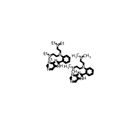 CCN(CC)CCN(CCN(CC)CC)c1ccccc1-c1nc2ncncc2[nH]1.CN(C)CCN(CCN(C)C)c1ccccc1-c1nc2ncncc2[nH]1